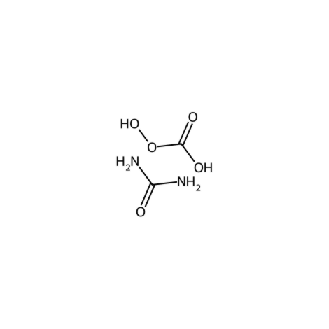 NC(N)=O.O=C(O)OO